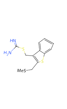 CSCc1sc2ccccc2c1CSC(=N)N